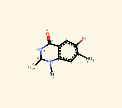 [2H]N1c2cc([N+](=O)[O-])c(Br)cc2C(=O)NC1C